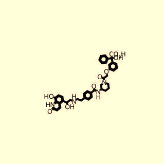 O=C(NC1CCCN(C(=O)COc2cccc(C(O)(C(=O)O)c3ccccc3)c2)C1)c1ccc(CCNCC(O)c2ccc(O)c3[nH]c(=O)ccc23)cc1